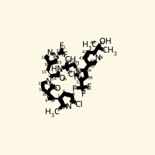 Cc1nc(Cl)ccc1[C@H]1C[C@@]12CCN([C@H](Cc1cnn(C(F)F)c1)C(=O)NC(C)(C)Cn1nc(C(F)(F)F)cc1-c1ccc(C(C)(C)O)nc1)C2=O